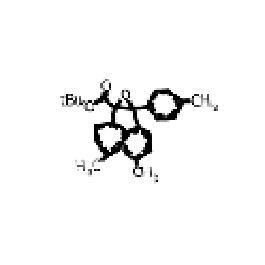 Cc1ccc(C2(C(=O)OC(C)(C)C)OC2(c2ccc(C)cc2)c2ccc(C)cc2)cc1